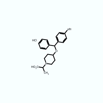 CCCc1ccc(C(OC2CCN(C(C)C(=O)O)CC2)c2ccccc2)cc1.Cl